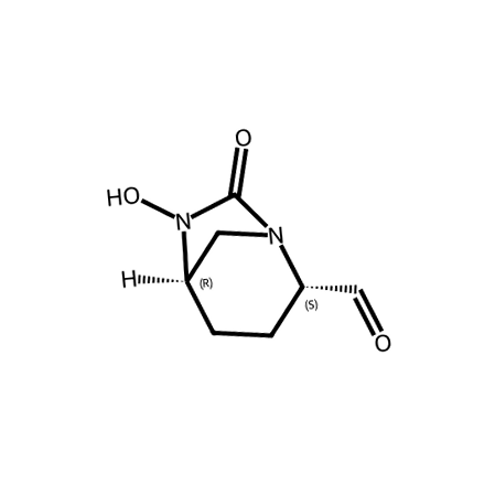 O=C[C@@H]1CC[C@@H]2CN1C(=O)N2O